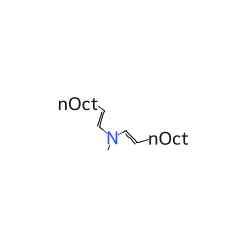 CCCCCCCCC=CN(C)C=CCCCCCCCC